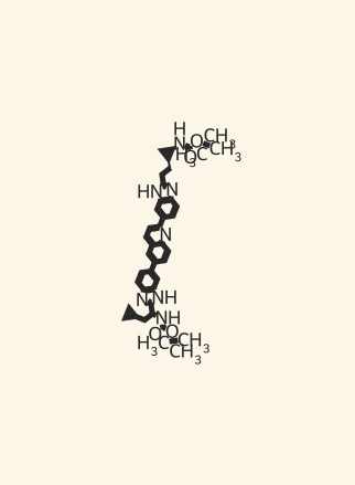 CC(C)(C)OC(=O)NC(CC1CC1)c1nc2ccc(-c3ccc4nc(-c5ccc6nc(CC[C@H]7C[C@H]7NC(=O)OC(C)(C)C)[nH]c6c5)ccc4c3)cc2[nH]1